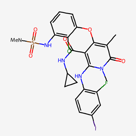 CNS(=O)(=O)Nc1cccc(Oc2c(C(=O)NC3CC3)c(Nc3ccc(I)cc3F)n(C)c(=O)c2C)c1Cl